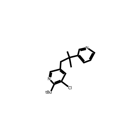 CC(C)(C)c1ncc(CC(C)(C)c2cccnc2)cc1Cl